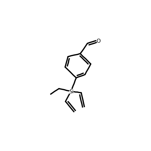 C=C[Si](C=C)(CC)c1ccc(C=O)cc1